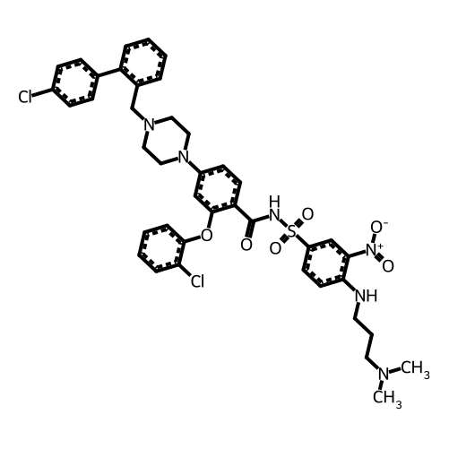 CN(C)CCCNc1ccc(S(=O)(=O)NC(=O)c2ccc(N3CCN(Cc4ccccc4-c4ccc(Cl)cc4)CC3)cc2Oc2ccccc2Cl)cc1[N+](=O)[O-]